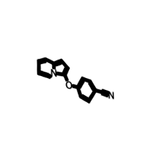 N#Cc1ccc(Oc2ccc3ccccn23)cc1